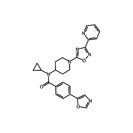 O=C(c1ccc(-c2cnco2)cc1)N(C1CC1)C1CCN(c2nc(-c3ccccn3)no2)CC1